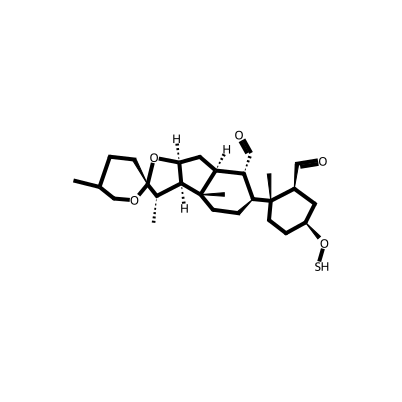 CC1CC[C@@]2(OC1)O[C@H]1C[C@H]3[C@H](C=O)[C@@H]([C@@]4(C)CC[C@H](OS)C[C@@H]4C=O)CC[C@]3(C)[C@H]1[C@@H]2C